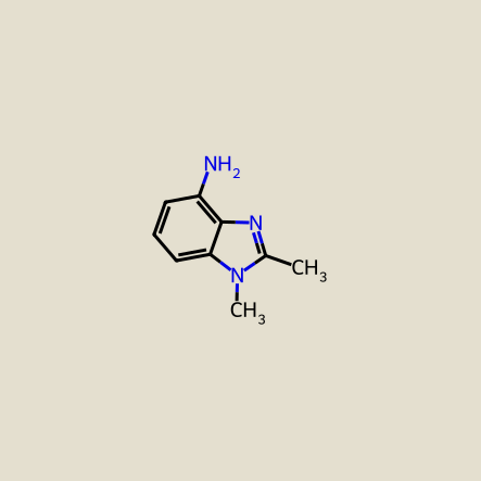 Cc1nc2c(N)cccc2n1C